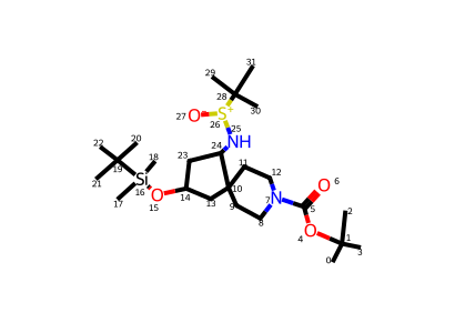 CC(C)(C)OC(=O)N1CCC2(CC1)CC(O[Si](C)(C)C(C)(C)C)CC2N[S+]([O-])C(C)(C)C